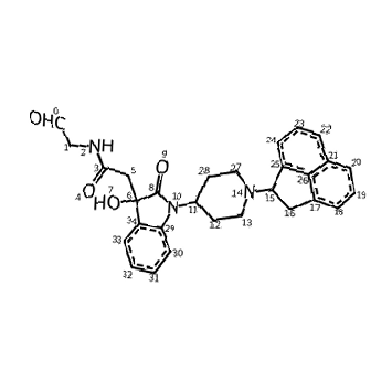 O=CCNC(=O)CC1(O)C(=O)N(C2CCN(C3Cc4cccc5cccc3c45)CC2)c2ccccc21